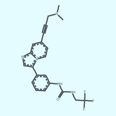 CN(C)CC#Cc1ccn2c(-c3cccc(NC(=O)NCC(F)(F)F)c3)cnc2c1